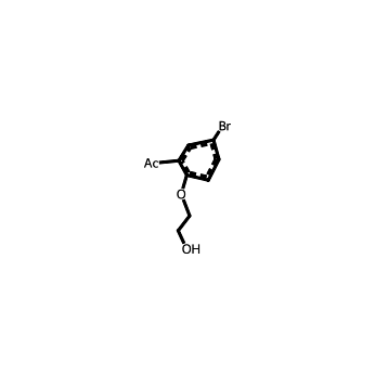 CC(=O)c1cc(Br)ccc1OCCO